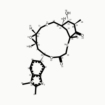 Cc1nc2cc([C@@H]3C[C@@H]4O[C@@H]4CCC[C@@H]4CC(C)(CCC(=O)O3)C(=O)[C@H](C)[C@H]4O)ccc2n1C